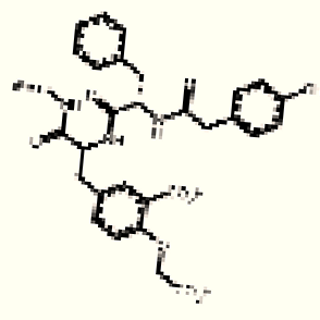 CCCCCNC(=O)[C@H](Cc1ccc(OCC(=O)O)c(C(=O)O)c1)NC(=O)[C@H](Cc1ccccc1)NC(=O)Cc1ccc(O)cc1